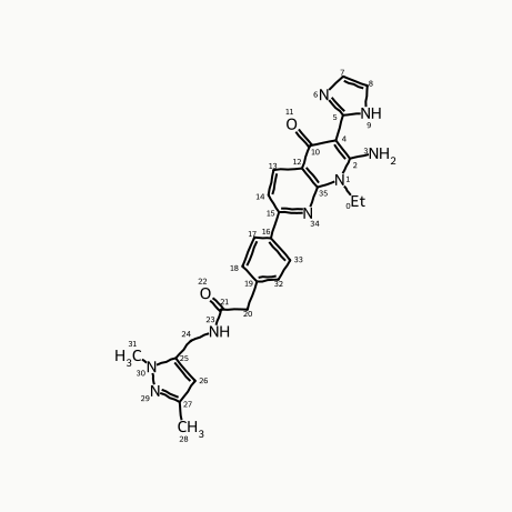 CCn1c(N)c(-c2ncc[nH]2)c(=O)c2ccc(-c3ccc(CC(=O)NCc4cc(C)nn4C)cc3)nc21